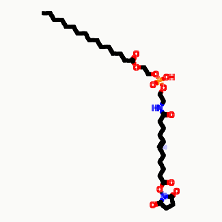 CCCCCCCCCCCCCCCC(=O)OCCOP(=O)(O)OCCNC(=O)CCC/C=C/CCCCC(=O)ON1C(=O)CCC1=O